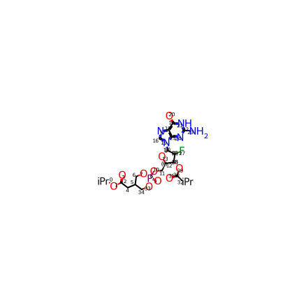 CC(C)OC(=O)CC1COP(=O)(OC[C@H]2O[C@@H](n3cnc4c(=O)[nH]c(N)nc43)[C@@H](F)[C@@H]2OC(=O)C(C)C)OC1